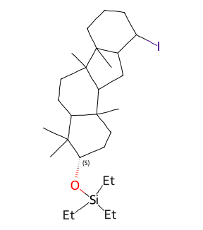 CC[Si](CC)(CC)O[C@H]1CCC2(C)C(CCC3(C)C2CC2C(I)CCCC23C)C1(C)C